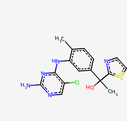 Cc1ccc(C(C)(O)c2nccs2)cc1Nc1nc(N)ncc1Cl